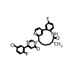 C[C@@H]1CCC[C@H](n2cnc(-c3cc(Cl)ccc3F)cc2=O)c2cc(ccn2)-c2cc(F)ccc2NC1=O